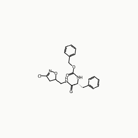 O=C(N[C@H](Cc1ccccc1)C(=O)NCC1CC(Cl)=NO1)OCc1ccccc1